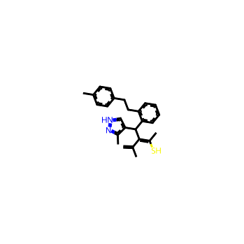 C=C(C)/C(=C(/C)S)C(c1ccccc1CCc1ccc(C)cc1)c1c[nH]nc1C